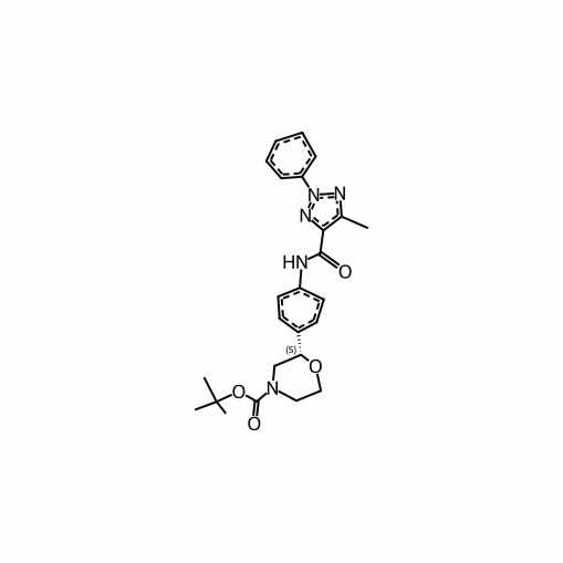 Cc1nn(-c2ccccc2)nc1C(=O)Nc1ccc([C@H]2CN(C(=O)OC(C)(C)C)CCO2)cc1